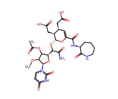 COC1C(OC(C)=O)[C@@H](C(O[C@H]2OC(C(=O)N[C@H]3CCCCNC3=O)=C[C@H](CC(=O)O)[C@@H]2CC(=O)O)C(N)=O)O[C@H]1n1ccc(=O)[nH]c1=O